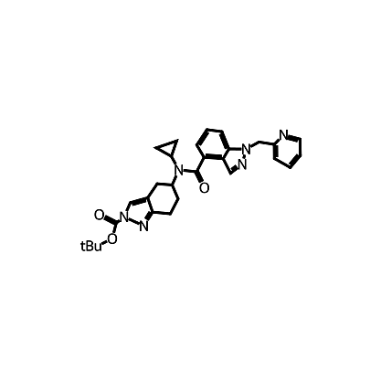 CC(C)(C)OC(=O)n1cc2c(n1)CCC(N(C(=O)c1cccc3c1cnn3Cc1ccccn1)C1CC1)C2